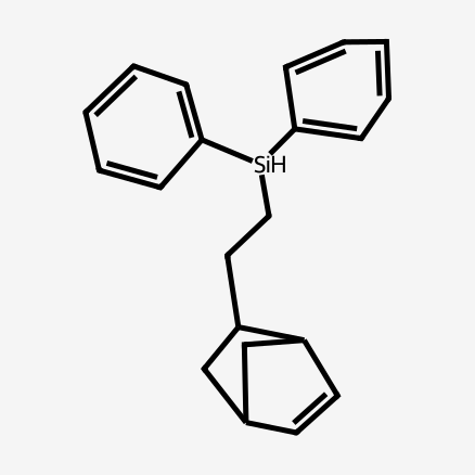 C1=CC2CC1CC2CC[SiH](c1ccccc1)c1ccccc1